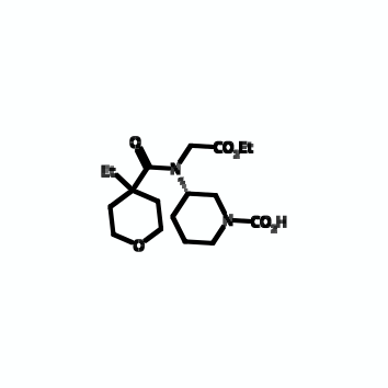 CCOC(=O)CN(C(=O)C1(CC)CCOCC1)[C@H]1CCCN(C(=O)O)C1